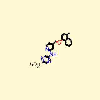 Cc1ccc(OCc2ccnc(Nc3cnc(C(=O)O)cn3)c2)c2ccccc12